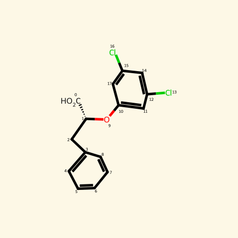 O=C(O)[C@@H](Cc1ccccc1)Oc1cc(Cl)cc(Cl)c1